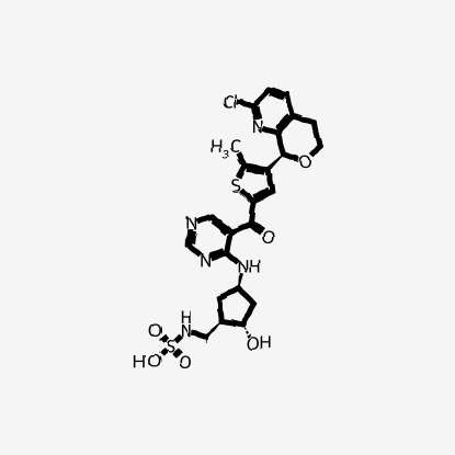 Cc1sc(C(=O)c2cncnc2N[C@H]2C[C@H](O)[C@@H]([CH]NS(=O)(=O)O)C2)cc1[C@@H]1OCCc2ccc(Cl)nc21